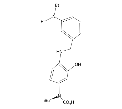 CC[C@H](C)N(C(=O)O)c1ccc(NCc2cccc(N(CC)CC)c2)c(O)c1